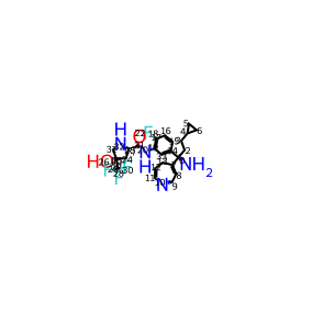 NC(CCC1CC1)(C1=CC=NC=CC1)c1ccc(F)c(NC(=O)[C@H]2C[C@](O)(C(F)(F)F)CN2)c1